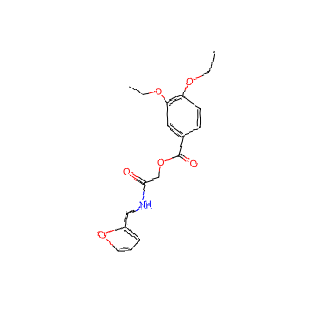 CCOc1ccc(C(=O)OCC(=O)NCc2ccco2)cc1OCC